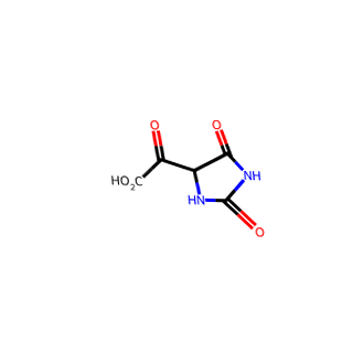 O=C1NC(=O)C(C(=O)C(=O)O)N1